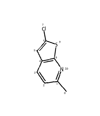 Cc1ccc2cc(Cl)sc2n1